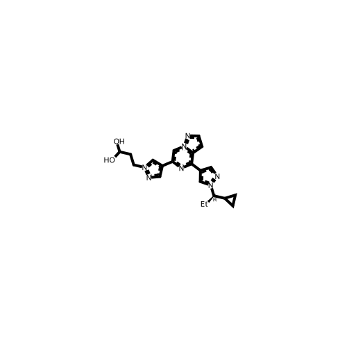 CC[C@H](C1CC1)n1cc(-c2nc(-c3cnn(CCC(O)O)c3)cn3nccc23)cn1